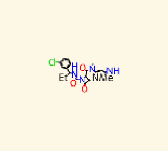 CCC(NC(=O)N1C(=O)CC1C(=O)N(C)/C(=C/C=N)NC)c1cccc(Cl)c1